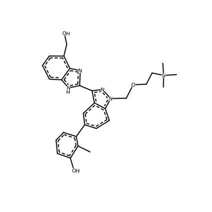 Cc1c(O)cccc1-c1ccc2c(c1)c(-c1nc3c(CO)cccc3[nH]1)nn2COCC[Si](C)(C)C